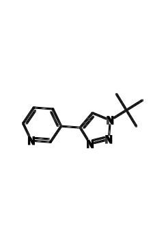 CC(C)(C)n1cc(-c2cccnc2)nn1